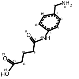 NCc1ccc(NC(=O)CCCC(=O)O)cc1